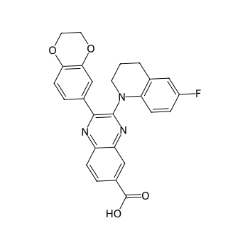 O=C(O)c1ccc2nc(-c3ccc4c(c3)OCCO4)c(N3CCCc4cc(F)ccc43)nc2c1